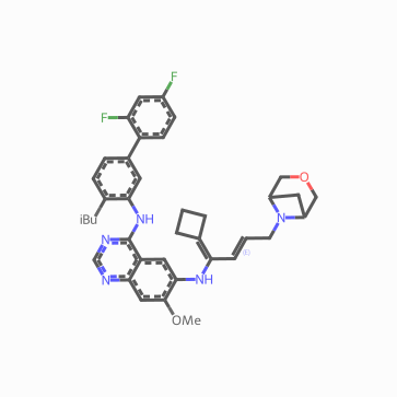 CCC(C)c1ccc(-c2ccc(F)cc2F)cc1Nc1ncnc2cc(OC)c(NC(/C=C/CN3C4COCC3C4)=C3CCC3)cc12